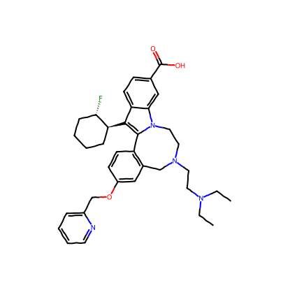 CCN(CC)CCN1CCn2c(c([C@H]3CCCC[C@@H]3F)c3ccc(C(=O)O)cc32)-c2ccc(OCc3ccccn3)cc2C1